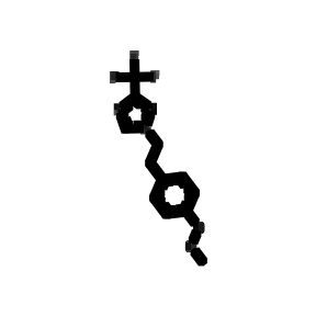 COOc1ccc(CCn2cnc(C(F)(F)F)n2)cc1